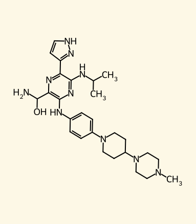 CC(C)Nc1nc(Nc2ccc(N3CCC(N4CCN(C)CC4)CC3)cc2)c(C(N)O)nc1-c1cc[nH]n1